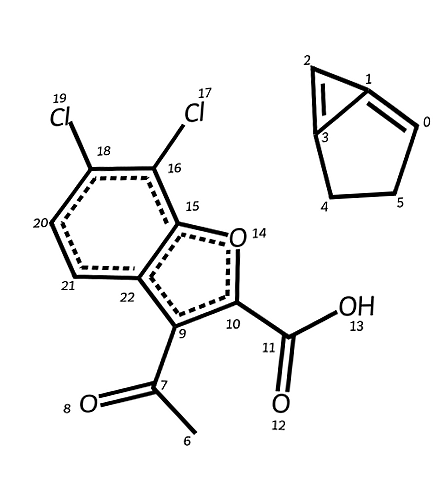 C1=C2C=C2CC1.CC(=O)c1c(C(=O)O)oc2c(Cl)c(Cl)ccc12